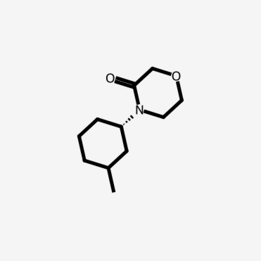 CC1CCC[C@H](N2CCOCC2=O)C1